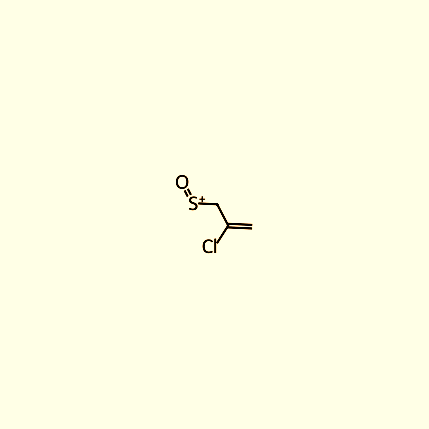 C=C(Cl)C[S+]=O